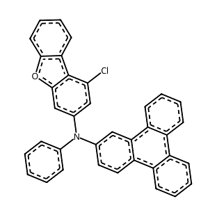 Clc1cc(N(c2ccccc2)c2ccc3c4ccccc4c4ccccc4c3c2)cc2oc3ccccc3c12